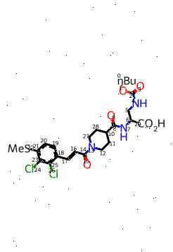 CCCCOC(=O)NCC(NC(=O)C1CCN(C(=O)C=Cc2ccc(SC)c(Cl)c2Cl)CC1)C(=O)O